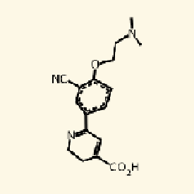 CN(C)CCOc1ccc(C2=NCCC(C(=O)O)=C2)cc1C#N